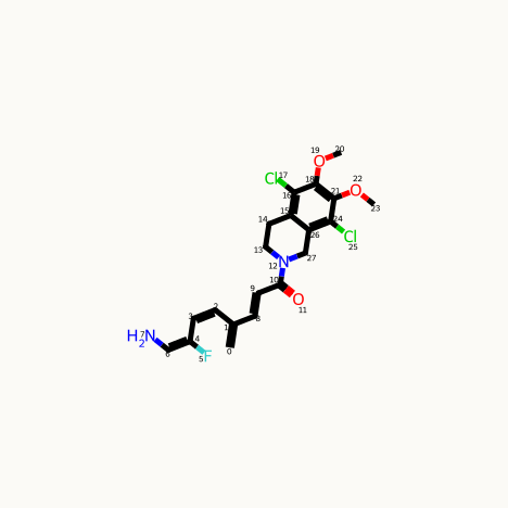 C=C(/C=C\C(F)=C/N)/C=C/C(=O)N1CCc2c(Cl)c(OC)c(OC)c(Cl)c2C1